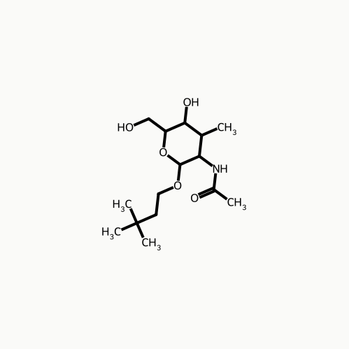 CC(=O)NC1C(OCCC(C)(C)C)OC(CO)C(O)C1C